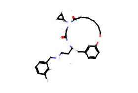 CC(C)c1cccc(CNC[C@@H](O)[C@@H]2Cc3cccc(c3)OCCCCCC(=O)N(C3CC3)[C@@H](C)C(=O)N2)c1